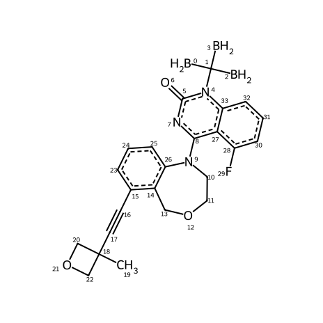 BC(B)(B)n1c(=O)nc(N2CCOCc3c(C#CC4(C)COC4)cccc32)c2c(F)cccc21